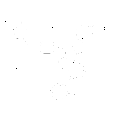 Cc1ccccc1C1=CC=CC(c2nc3cc(CN4CC[C@@H](C(=O)O)C4)cc(C#N)c3o2)(c2nc3c(s2)C(C)(C)N(C)CC3)C1C